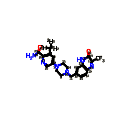 [2H]C([2H])([2H])c1cc(N2CCN(Cc3ccc4nc(C(F)(F)F)c(=O)[nH]c4c3)CC2)cnc1C(N)=O